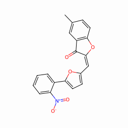 Cc1ccc2c(c1)C(=O)C(=Cc1ccc(-c3ccccc3[N+](=O)[O-])o1)O2